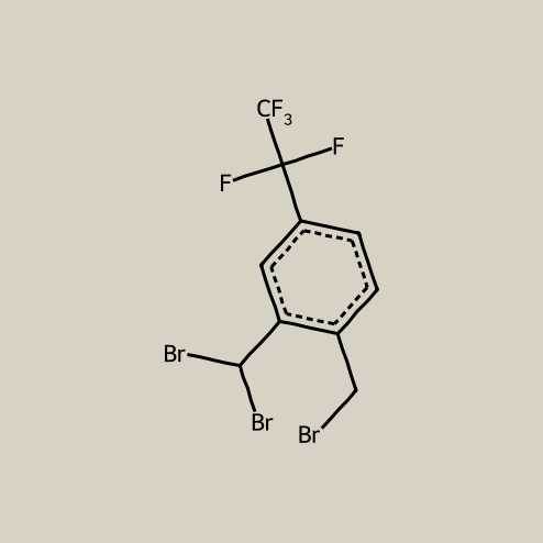 FC(F)(F)C(F)(F)c1ccc(CBr)c(C(Br)Br)c1